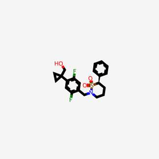 O=S1(=O)[C@@H](c2ccccc2)CCCN1Cc1cc(F)c(C2(CO)CC2)cc1F